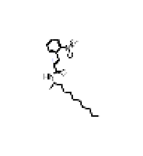 CCCCCCCCCC(C)NC(=O)/C=C/c1ccccc1[N+](=O)[O-]